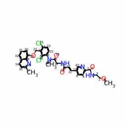 COCCNC(=O)c1ccc(C=CC(=O)NCC(=O)N(C)c2ccc(Cl)c(COc3cccc4ccc(C)nc34)c2Cl)cn1